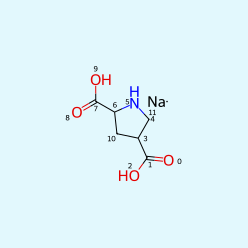 O=C(O)C1CNC(C(=O)O)C1.[Na]